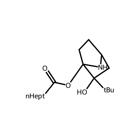 CCCCCCCC(=O)OC12CCC(CC1(O)C(C)(C)C)N2